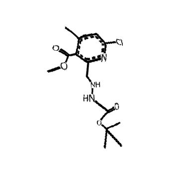 COC(=O)c1c(C)cc(Cl)nc1CNNC(=O)OC(C)(C)C